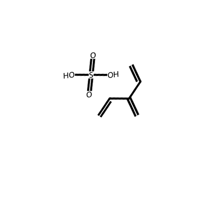 C=CC(=C)C=C.O=S(=O)(O)O